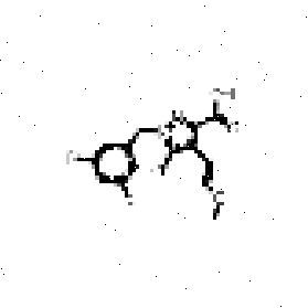 COC=Cc1c(C(=O)O)nn(Cc2cc(F)cc(F)c2)c1Cl